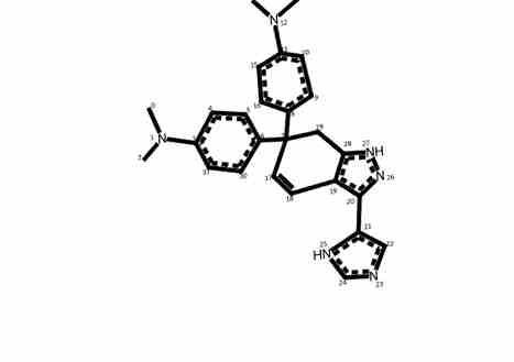 CN(C)c1ccc(C2(c3ccc(N(C)C)cc3)C=Cc3c(-c4cnc[nH]4)n[nH]c3C2)cc1